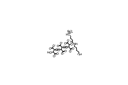 O=C([O-])C(O)C(O)C(=O)[O-].O=C([O-])C(O)C(O)C(=O)[O-].O=C([O-])C(O)C(O)C(=O)[O-].OCCCCNCCCCO.[Fe+3].[Fe+3]